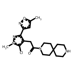 Cc1cc(-c2nn(C)c(Cl)c2CC(=O)N2CCC3(CCNCC3)CC2)no1